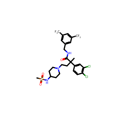 CC(CCN1CCC(NS(C)(=O)=O)CC1)(C(=O)NCc1cc(C(F)(F)F)cc(C(F)(F)F)c1)c1ccc(Cl)c(Cl)c1